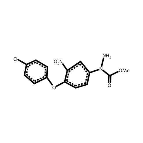 COC(=O)N(N)c1ccc(Oc2ccc(Cl)cc2)c([N+](=O)[O-])c1